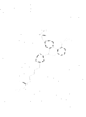 COC(=O)CCCCCc1cccc(C2Oc3cccc(OC)c3-c3ccc(CS(N)(=O)=O)cc32)c1